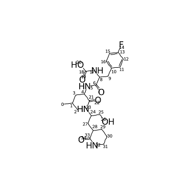 CC(C)CC(NC(=O)C(Cc1ccc(F)cc1)NC(=O)O)C(=O)NC(CO)CC1CCCNC1=O